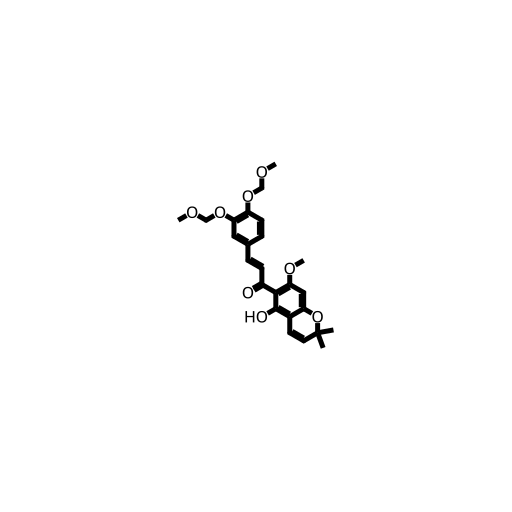 COCOc1ccc(/C=C/C(=O)c2c(OC)cc3c(c2O)C=CC(C)(C)O3)cc1OCOC